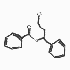 O=C(OC(CCCl)c1ccccc1)c1ccccc1